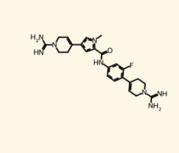 Cn1cc(C2=CCN(C(=N)N)CC2)cc1C(=O)Nc1ccc(C2=CCN(C(=N)N)CC2)c(F)c1